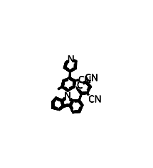 Cc1cc(-c2ccncc2)c(C#N)cc1-n1c2ccccc2c2cccc(-c3ccc(C#N)cc3C#N)c21